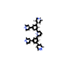 c1cc(-c2cc(-c3ccncc3)cc(-c3ccncc3)c2)nc(-c2cc(-c3ccncc3)cc(-c3ccncc3)c2)c1